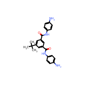 CC(C)(C)c1cc(C(=O)Nc2ccc(N)cc2)cc(C(=O)Nc2ccc(N)cc2)c1